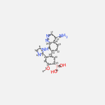 COc1cc(-c2ncc[nH]2)c(-c2ccc3c(N)cnnc3c2)cc1B(O)O